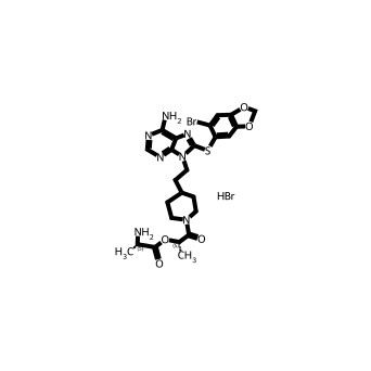 Br.C[C@H](N)C(=O)O[C@@H](C)C(=O)N1CCC(CCn2c(Sc3cc4c(cc3Br)OCO4)nc3c(N)ncnc32)CC1